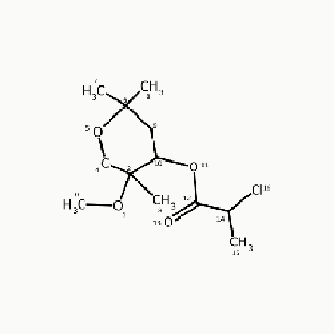 COC1(C)OOC(C)(C)CC1OC(=O)C(C)Cl